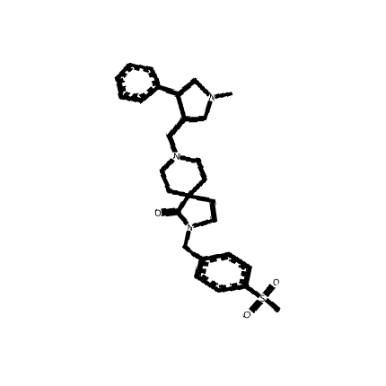 CN1CC(CN2CCC3(CC2)CCN(Cc2ccc(S(C)(=O)=O)cc2)C3=O)C(c2ccccc2)C1